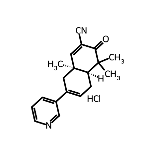 CC1(C)C(=O)C(C#N)=C[C@]2(C)CC(c3cccnc3)=CC[C@H]12.Cl